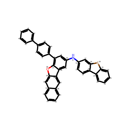 c1ccc(-c2ccc(-c3cc(Nc4ccc5c(c4)sc4ccccc45)cc4c3oc3cc5ccccc5cc34)cc2)cc1